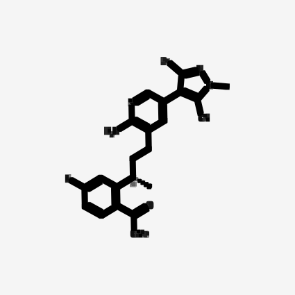 COC(=O)c1ccc(F)cc1[C@@H](C)CCc1cc(-c2c(Br)nn(C)c2C#N)cnc1N